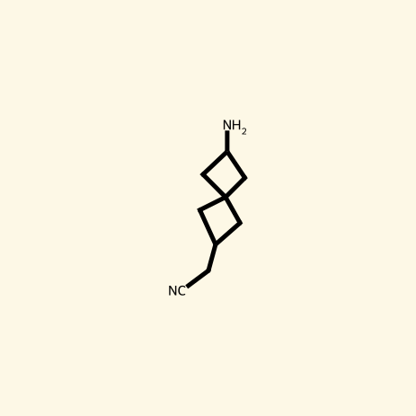 N#CCC1CC2(CC(N)C2)C1